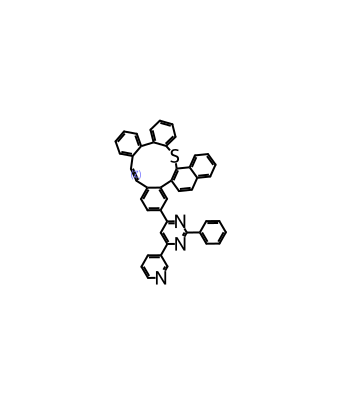 C1=C\c2ccc(-c3cc(-c4cccnc4)nc(-c4ccccc4)n3)cc2-c2ccc3ccccc3c2Sc2ccccc2-c2ccccc2/1